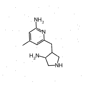 Cc1cc(N)nc(CC2CNCC2N)c1